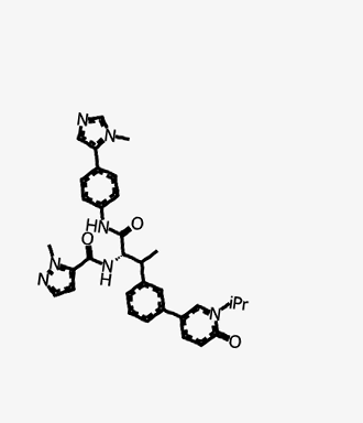 CC(c1cccc(-c2ccc(=O)n(C(C)C)c2)c1)[C@H](NC(=O)c1ccnn1C)C(=O)Nc1ccc(-c2cncn2C)cc1